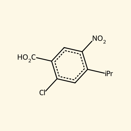 CC(C)c1cc(Cl)c(C(=O)O)cc1[N+](=O)[O-]